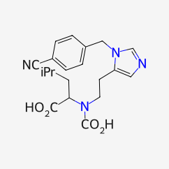 CC(C)CC(C(=O)O)N(CCc1cncn1Cc1ccc(C#N)cc1)C(=O)O